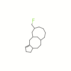 FCC1CCCCC2CCC3CCC=C3CC(C1)C2